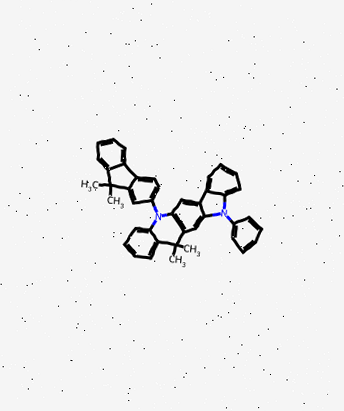 CC1(C)c2ccccc2-c2ccc(N3c4ccccc4C(C)(C)c4cc5c(cc43)c3ccccc3n5-c3ccccc3)cc21